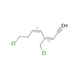 C#C/C=C(\C=C/CCCl)CCl